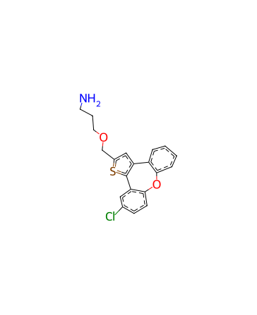 NCCCOCc1cc2c(s1)-c1cc(Cl)ccc1Oc1ccccc1-2